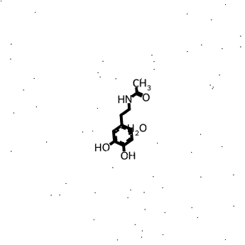 CC(=O)NCCc1ccc(O)c(O)c1.O